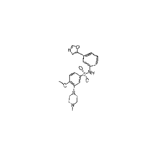 COc1ccc(S(=O)(=O)Nc2cccc(-c3cnco3)c2)cc1N1CCN(C)CC1